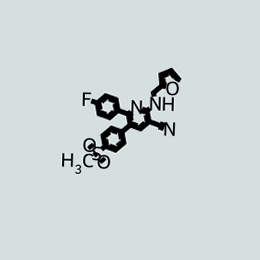 CS(=O)(=O)c1ccc(-c2cc(C#N)c(NCc3ccco3)nc2-c2ccc(F)cc2)cc1